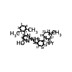 Cc1cccc(C)c1-c1cc(O)nc(NSc2cccc(N3CCCN(C)CC3C(C)C)c2)n1